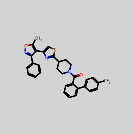 Cc1onc(-c2ccccc2)c1-c1csc(C2CCN(C(=O)c3ccccc3-c3ccc(C(F)(F)F)cc3)CC2)n1